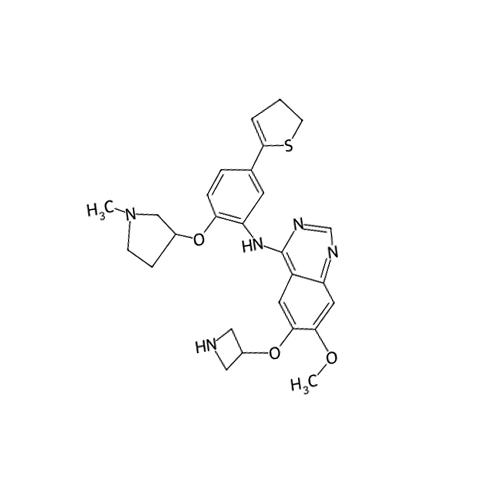 COc1cc2ncnc(Nc3cc(C4=CCCS4)ccc3OC3CCN(C)C3)c2cc1OC1CNC1